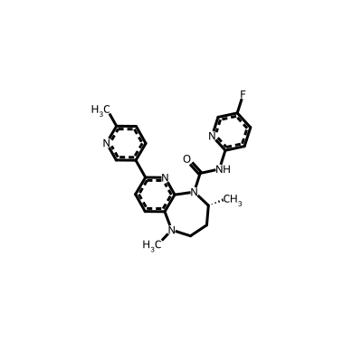 Cc1ccc(-c2ccc3c(n2)N(C(=O)Nc2ccc(F)cn2)[C@H](C)CCN3C)cn1